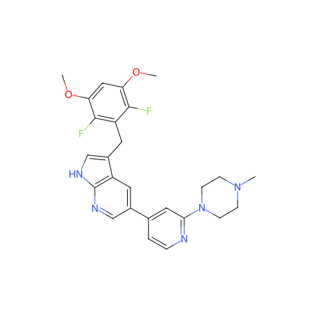 COc1cc(OC)c(F)c(Cc2c[nH]c3ncc(-c4ccnc(N5CCN(C)CC5)c4)cc23)c1F